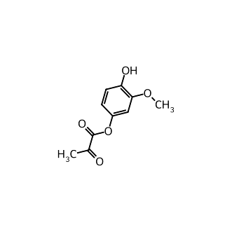 COc1cc(OC(=O)C(C)=O)ccc1O